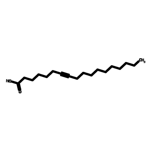 CCCCCCCCCCC#CCCCCCC(=O)O